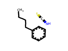 CCCCc1ccccc1.N=C=S